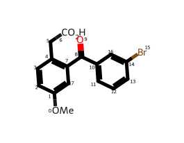 COc1ccc(CC(=O)O)c(C(=O)c2cccc(Br)c2)c1